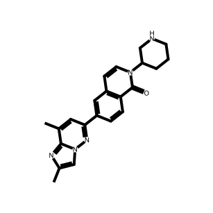 Cc1cn2nc(-c3ccc4c(=O)n(C5CCCNC5)ccc4c3)cc(C)c2n1